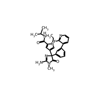 CCn1cc(C2(c3cccc(-c4cccnc4F)c3)N=C(N)N(C)C2=O)cc1C(=O)NC(C)C